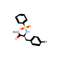 CCc1ccc(C[C@H](NS(=O)(=O)c2ccccc2)C(=O)OC)cc1